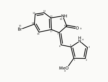 COc1cc[nH]c1/C=C1\C(=O)Nc2ccc(Br)cc21